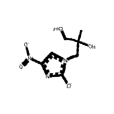 CC(O)(CO)Cn1cc([N+](=O)[O-])nc1Cl